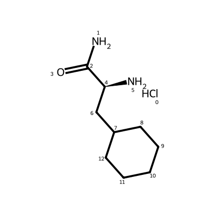 Cl.NC(=O)[C@@H](N)CC1CCCCC1